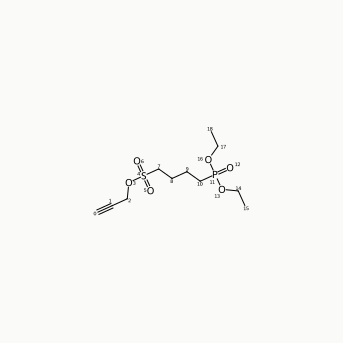 C#CCOS(=O)(=O)CCCCP(=O)(OCC)OCC